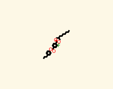 CCCCCCCC1COC(c2ccc(C(=O)Oc3ccc(CCC)cc3)cc2F)OC1